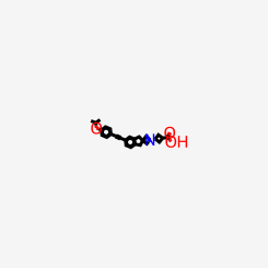 CC(C)Oc1ccc(C#Cc2ccc3c(c2)CC2(C3)CN(C3CC(C(=O)O)C3)C2)cc1